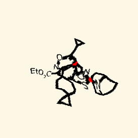 CCOC(=O)c1ccc2nc(N3C4CCC3CC(OCc3c(C5CCC6(CC5)CC6)noc3C3CC3)C4)sc2c1